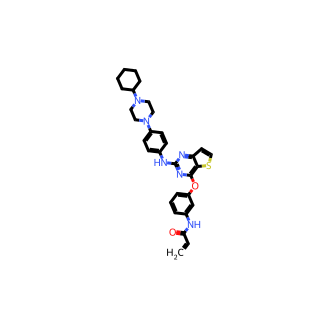 C=CC(=O)Nc1cccc(Oc2nc(Nc3ccc(N4CCN(C5CCCCC5)CC4)cc3)nc3ccsc23)c1